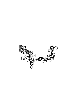 CC(C)[C@H](NC(=O)CCN1C(=O)C=CC1=O)C(=O)N[C@@H](C)C(=O)Nc1ccc(COC(=O)N2CC(=O)C[C@H]2C(=O)N[C@@H]2[C@@H](O)[C@H](O)[C@@H](Nc3ncnc4nc[nH]c34)O[C@H]2CO)cc1